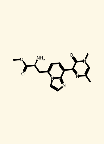 COC(=O)[C@@H](N)Cc1ccc(-c2nc(C)cn(C)c2=O)c2nccn12